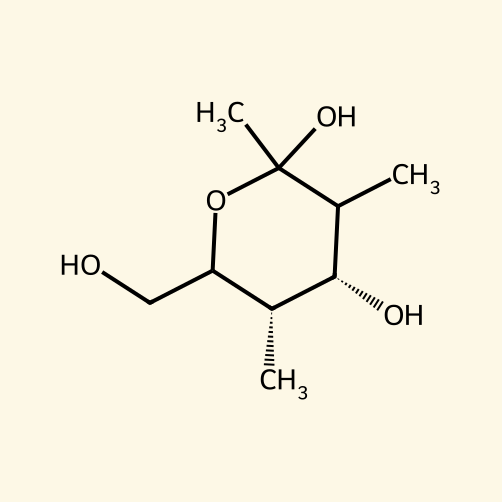 CC1[C@H](O)[C@H](C)C(CO)OC1(C)O